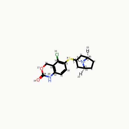 CN1[C@@H]2CC[C@H]1CC(Sc1ccc3c(c1Cl)COC(=O)N3)C2